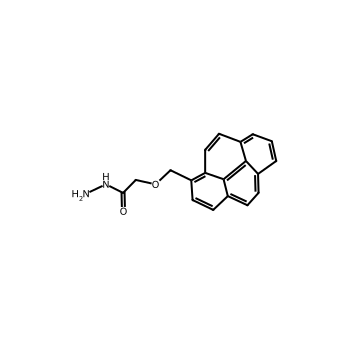 NNC(=O)COCc1ccc2ccc3cccc4ccc1c2c34